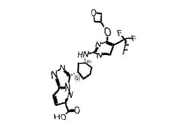 O=C(O)c1ccc2nnc([C@H]3CCC[C@@H](Nc4ncc(C(F)(F)F)c(OC5COC5)n4)C3)n2n1